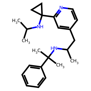 CC(C)NC1(c2cc(CC(C)NC(C)(C)c3ccccc3)ccn2)CC1